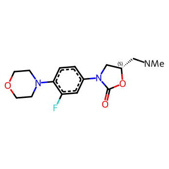 CNC[C@H]1CN(c2ccc(N3CCOCC3)c(F)c2)C(=O)O1